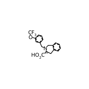 O=C(O)[C@@H]1Cc2ccccc2CN1Cc1cccc(OC(F)(F)F)c1